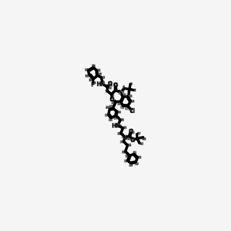 CC(C)(C)CN1C(=O)C(CC(=O)NCc2ccccc2F)OC(c2cccc(CNCCN(CCCc3ccccc3)C(=O)OC(C)(C)C)c2)c2cc(Cl)ccc21